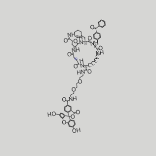 NC(=O)CC[C@@H]1NC(=O)/C=C/C(=O)N[C@H](C(=O)NCCOCCOCCNC(=O)c2ccc3c(c2)C(=O)OC32c3ccc(O)cc3Oc3cc(O)ccc32)CCCCNC(=O)[C@@H](Cc2ccc(C(=O)c3ccccc3)cc2)NC(=O)[C@H](CC2CCCCC2)NC1=O